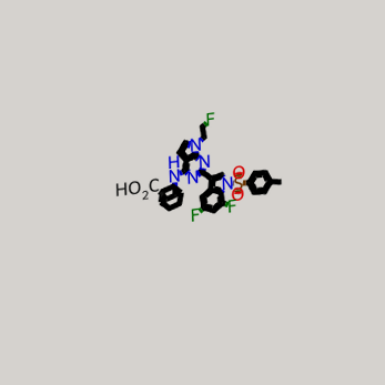 Cc1ccc(S(=O)(=O)n2cc(-c3nc(NC4C5CCC(CC5)C4C(=O)O)c4ccn(CCF)c4n3)c3cc(F)cc(F)c32)cc1